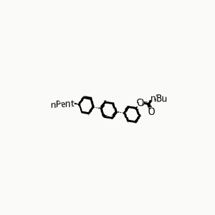 CCCCC[C@H]1CC[C@H](C2CCC([C@H]3CCC[C@@H](OC(=O)CCCC)C3)CC2)CC1